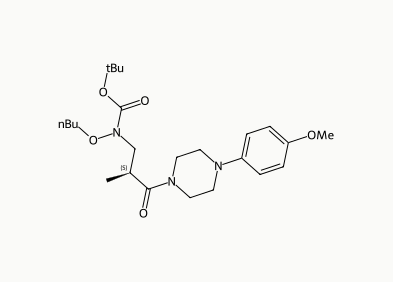 CCCCON(C[C@H](C)C(=O)N1CCN(c2ccc(OC)cc2)CC1)C(=O)OC(C)(C)C